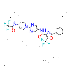 CN(C(=O)C(F)(F)F)C1CCN(c2ncc(NC(=O)c3nc(-c4ccccc4)oc3C(F)(F)F)cn2)CC1